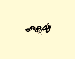 C1=CCC2C(C1)C1=C(NC3C=Cc4sc5c(c4C3)=CCCC=5)C=CCC1N2c1cccc(-c2ccccc2)n1